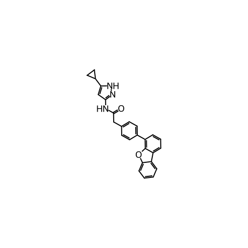 O=C(Cc1ccc(-c2cccc3c2oc2ccccc23)cc1)Nc1cc(C2CC2)[nH]n1